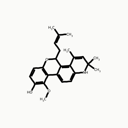 COc1c(O)ccc2c1-c1ccc3c(c1C(CC=C(C)C)O2)C(C)=CC(C)(C)N3